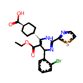 CCOC(=O)C1=C([C@H]2CC[C@H](C(=O)O)CC2)NC(c2nccs2)=NC1c1ccccc1Br